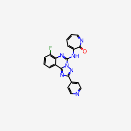 O=c1nccccc1Nc1nc2c(F)cccc2c2nc(-c3ccncc3)nn12